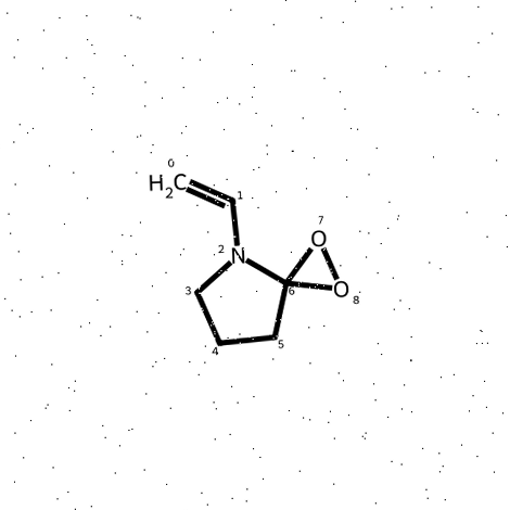 C=CN1CCCC12OO2